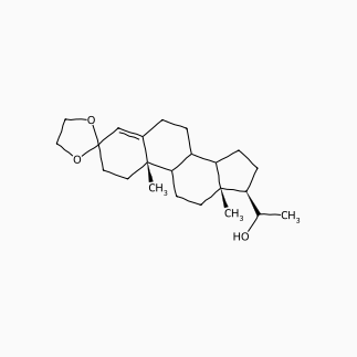 CC(O)[C@@H]1CCC2C3CCC4=CC5(CC[C@@]4(C)C3CC[C@]21C)OCCO5